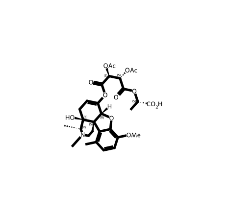 COc1ccc(C)c2c1O[C@H]1C(OC(=O)[C@@H](OC(C)=O)[C@H](OC(C)=O)C(=O)O[C@@H](C)C(=O)O)=CC[C@@]3(O)[C@@H](C)N(C)CC[C@]213